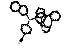 N#Cc1ccc(N(c2ccc3c(c2)-c2c4cccc2-c2cccc-3c2-c2ccccc2-4)c2ccc3ccccc3c2)cc1